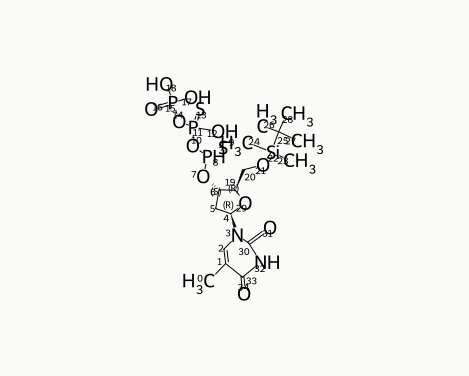 Cc1cn([C@H]2C[C@H](O[PH](=S)OP(O)(=S)OP(=O)(O)O)[C@@H](CO[Si](C)(C)C(C)(C)C)O2)c(=O)[nH]c1=O